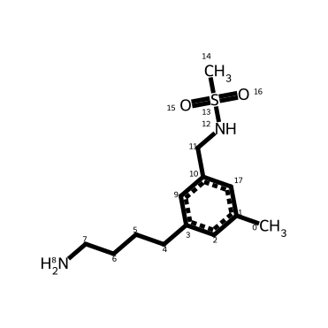 Cc1cc(CCCCN)cc(CNS(C)(=O)=O)c1